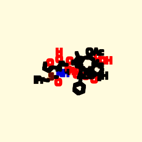 CC(=O)O[C@H]1C(=O)[C@@]2(C)[C@H]([C@H](OC(=O)c3ccccc3)[C@]3(O)C[C@H](OC(=O)[C@H](O)[C@@H](NC(=O)SCC(C)C)c4ccco4)C(C)=C1C3(C)C)[C@]1(OC(C)=O)OC[C@@H]1C[C@@H]2O